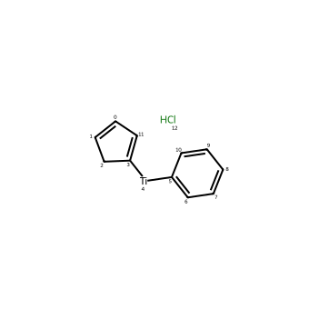 C1=CC[C]([Ti][c]2ccccc2)=C1.Cl